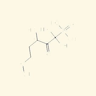 COCCC(C)C(=O)C(C)(C)P(=O)(O)O